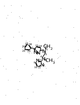 C=CN(CCN(C)c1ncccn1)c1ccc(-c2ccccc2)nn1